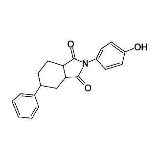 O=C1C2CCC(c3ccccc3)CC2C(=O)N1c1ccc(O)cc1